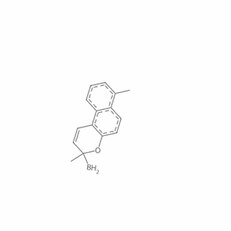 BC1(C)C=Cc2c(ccc3c(C)cccc23)O1